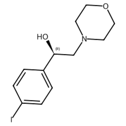 O[C@@H](CN1CCOCC1)c1ccc(I)cc1